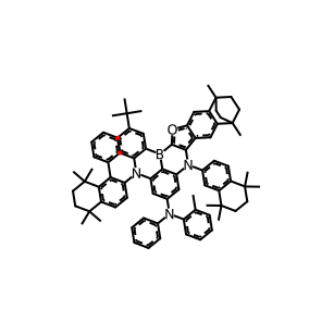 Cc1ccccc1N(c1ccccc1)c1cc2c3c(c1)N(c1ccc4c(c1)C(C)(C)CCC4(C)C)c1c(oc4cc5c(cc14)C1(C)CCC5(C)CC1)B3c1cc(C(C)(C)C)ccc1N2c1ccc2c(c1-c1ccccc1)C(C)(C)CCC2(C)C